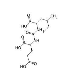 CC(CF)C[C@H](NC(=O)N[C@@H](CCC(=O)O)C(=O)O)C(=O)O